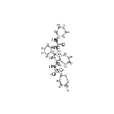 Cc1ccc(S(=O)(=O)NC(=O)NC(CNC(=O)Nc2ccccc2)(c2ccccc2)c2ccccc2)cc1